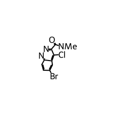 CNC(=O)c1nnc2ccc(Br)cc2c1Cl